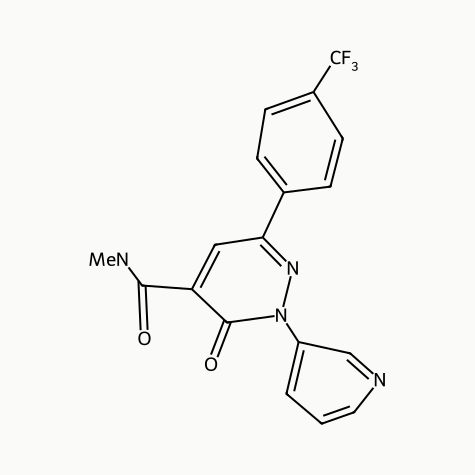 CNC(=O)c1cc(-c2ccc(C(F)(F)F)cc2)nn(-c2cccnc2)c1=O